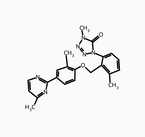 Cc1ccnc(-c2ccc(OCc3c(C)cccc3-n3nnn(C)c3=O)c(C)c2)n1